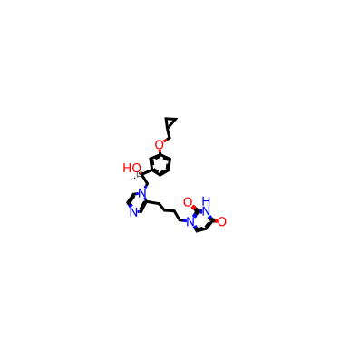 C[C@@](O)(CN1C=C=NC=C1CCCCn1ccc(=O)[nH]c1=O)c1cccc(OCC2CC2)c1